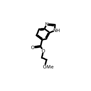 COCCOC(=O)c1ccc2nc[nH]c2c1